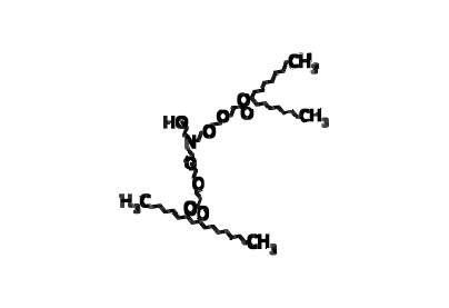 CCCCCCCCC(CCCCCCCC)OC(=O)CCOCCOCCN(CCO)CCOCCOCCC(=O)OC(CCCCCCCC)CCCCCCCC